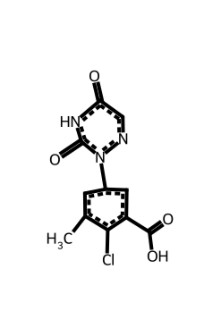 Cc1cc(-n2ncc(=O)[nH]c2=O)cc(C(=O)O)c1Cl